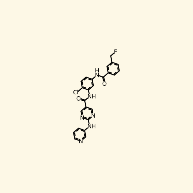 O=C(Nc1ccc(Cl)c(NC(=O)c2cnc(Nc3cccnc3)nc2)c1)c1cccc(CF)c1